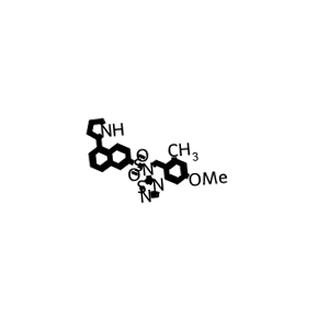 COc1ccc(CN(c2ncns2)S(=O)(=O)c2ccc3c(C4CCCN4)cccc3c2)c(C)c1